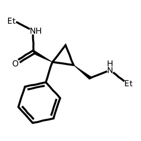 CCNC[C@@H]1C[C@@]1(C(=O)NCC)c1ccccc1